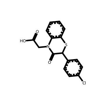 O=C(O)CN1C(=O)C(c2ccc(Cl)cc2)Sc2ccccc21